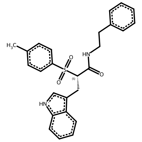 Cc1ccc(S(=O)(=O)[C@@H](Cc2c[nH]c3ccccc23)C(=O)NCCc2ccccc2)cc1